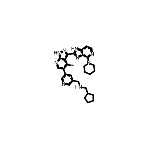 Fc1c(-c2cncc(CNCC3CCCC3)c2)cnc2[nH]nc(-c3nc4c(N5CCCCC5)nccc4[nH]3)c12